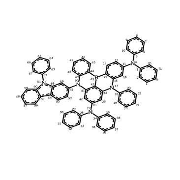 c1ccc(N(c2ccccc2)c2ccc3c(c2)N(c2ccccc2)c2cc(N(c4ccccc4)c4ccccc4)cc4c2B3c2ccccc2N4c2ccc3c4ccccc4n(-c4ccccc4)c3c2)cc1